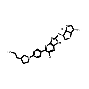 OCCC1CCN(c2ccc(-c3nc4nc(O[C@@H]5COC6[C@H](O)CO[C@@H]65)[nH]c4cc3Cl)cc2)C1